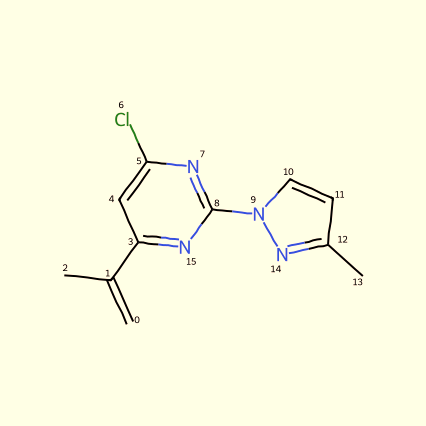 C=C(C)c1cc(Cl)nc(-n2ccc(C)n2)n1